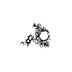 CCOc1cc2ccnc(O[C@@H]3C[C@H]4C(=O)N[C@]5(C(=O)NS(=O)(=O)C6CC6)C[C@H]5/C=C\CC[C@H](C)C[C@@H](C)[C@H](N(C(=O)O)C(C)(C)C(F)(F)F)C(=O)N4C3)c2cc1F